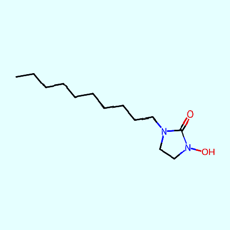 CCCCCCCCCCN1CCN(O)C1=O